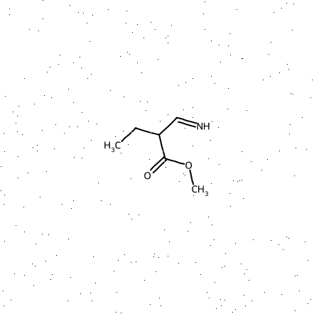 CCC(C=N)C(=O)OC